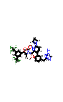 COc1ccc(Cc2nc[nH]n2)cc1-c1ccc(N2CCC2)nc1CN1C(=O)OC(c2cc(C(F)(F)F)cc(C(F)(F)F)c2)C1C